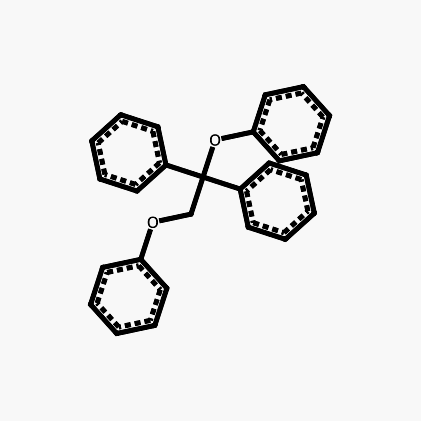 c1ccc(OCC(Oc2ccccc2)(c2ccccc2)c2ccccc2)cc1